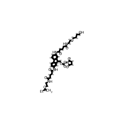 C=C(CC)OCCNC(=O)CCCC(=O)Nc1ccc2c(c1)C(COC(=O)ON1C(=O)CCC1=O)c1cc(NC(=O)CCCC(=O)NCCOCCCCO)ccc1-2